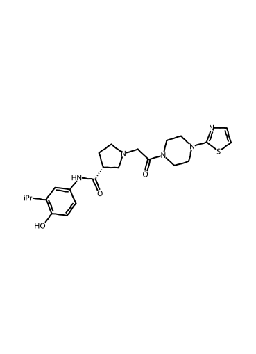 CC(C)c1cc(NC(=O)[C@@H]2CCN(CC(=O)N3CCN(c4nccs4)CC3)C2)ccc1O